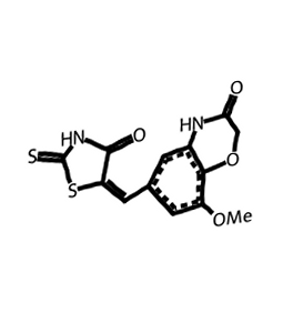 COc1cc(C=C2SC(=S)NC2=O)cc2c1OCC(=O)N2